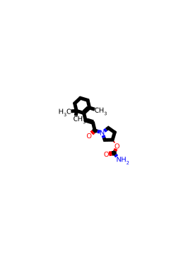 CC1=C(/C=C/C(=O)N2CC[C@H](OC(N)=O)C2)C(C)(C)CCC1